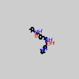 Cc1cccc(CNC(=O)Cc2cccc(CC(C)(C)NC[C@H](O)c3ccc(-n4c(C)ccc4C)nc3)c2)c1C